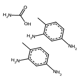 Cc1ccc(N)cc1N.Cc1ccc(N)cc1N.NC(=O)O